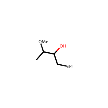 [CH2]C(OC)C(O)CCCC